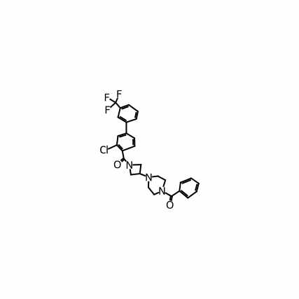 O=C(c1ccccc1)N1CCN(C2CN(C(=O)c3ccc(-c4cccc(C(F)(F)F)c4)cc3Cl)C2)CC1